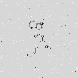 CCCCCC(CC)OC(=O)c1c[nH]c2ccccc12